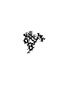 C=CC1CC1(NC(=O)C1CC(Oc2cc(-c3ccccc3)nc3cc(OC)ccc23)CN1C(=O)C(NC(=O)OC(C)(C)C)C(C)(C)C)C(=O)O